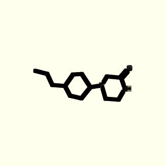 CCCC1CCC(N2CCNC(=O)C2)CC1